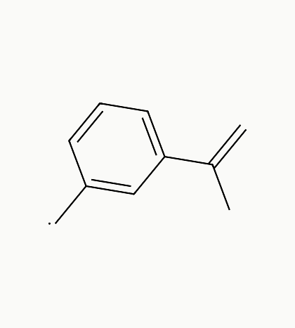 [CH2]c1cccc(C(=C)C)c1